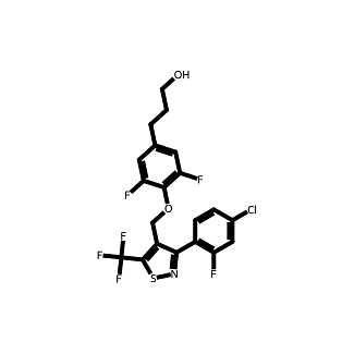 OCCCc1cc(F)c(OCc2c(-c3ccc(Cl)cc3F)nsc2C(F)(F)F)c(F)c1